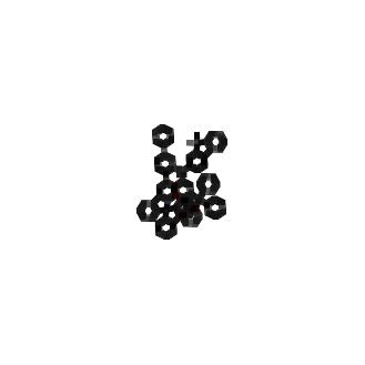 CC1(C)c2ccccc2-c2ccc(N(c3ccc4c(c3)C(c3ccccc3)(c3ccccc3)c3ccccc3-4)c3cc(-c4ccccc4)ccc3-c3ccc4c(c3)-c3ccccc3C43c4ccccc4-c4ccccc43)cc21